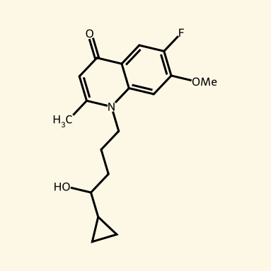 COc1cc2c(cc1F)c(=O)cc(C)n2CCCC(O)C1CC1